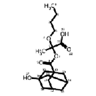 CCCCOC(C)(OC(=O)C12CC3CC(CC(O)(C3)C1)C2)C(=O)O